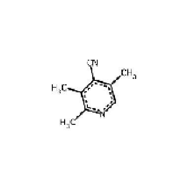 Cc1cnc(C)c(C)c1C#N